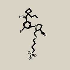 CCCC1(C(O)c2cc(F)cc(N3CCC(C#N)C3COCCCCS(=O)(=O)O)c2)CCC1